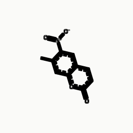 Cc1cc2oc(=O)ccc2cc1[N+](=O)[O-]